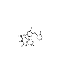 C[C@H]1C[C@H]2C(=O)N(C)C(=N)N[C@@]2(c2cc(Oc3ncccc3F)c(F)cc2F)CO1